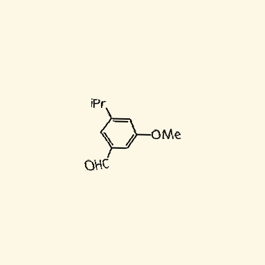 COc1cc(C=O)cc(C(C)C)c1